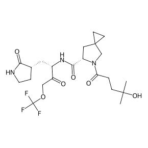 CC(C)(O)CCC(=O)N1CC2(CC2)C[C@H]1C(=O)N[C@@H](C[C@@H]1CCNC1=O)C(=O)COC(F)(F)F